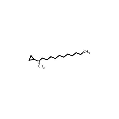 CCCCCCCCCCCN(C)C1CC1